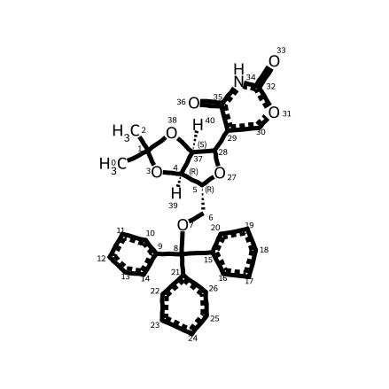 CC1(C)O[C@@H]2[C@@H](COC(c3ccccc3)(c3ccccc3)c3ccccc3)OC(c3coc(=O)[nH]c3=O)[C@@H]2O1